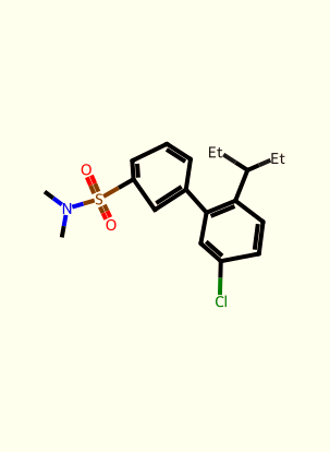 CCC(CC)c1ccc(Cl)cc1-c1cccc(S(=O)(=O)N(C)C)c1